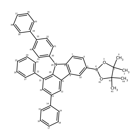 CC1(C)OB(c2ccc3c(c2)c2cc(-c4ccccc4)cc(-c4ccccc4)c2n3-c2ccc(-c3ccccc3)cc2)OC1(C)C